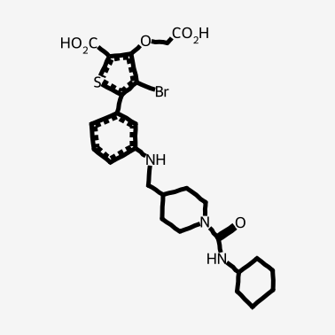 O=C(O)COc1c(C(=O)O)sc(-c2cccc(NCC3CCN(C(=O)NC4CCCCC4)CC3)c2)c1Br